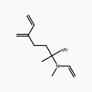 C=CC(=C)CCC(C)(CCC)N(C)C=C